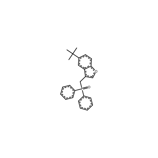 CC(C)(C)c1ccc2occ(CP(=O)(c3ccccc3)c3ccccc3)c2c1